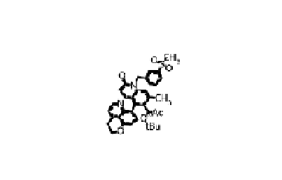 CC(=O)[C@@H](OC(C)(C)C)c1c(C)cc2c(ccc(=O)n2Cc2cccc(S(C)(=O)=O)c2)c1-c1ccc2c3c(ccnc13)CCO2